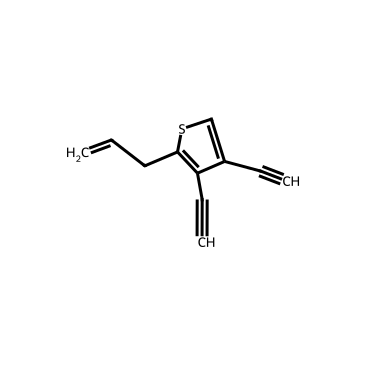 C#Cc1csc(CC=C)c1C#C